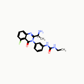 CCNC(=O)Nc1cccc(-n2c([C@H](C)N)nc3cccc(F)c3c2=O)c1